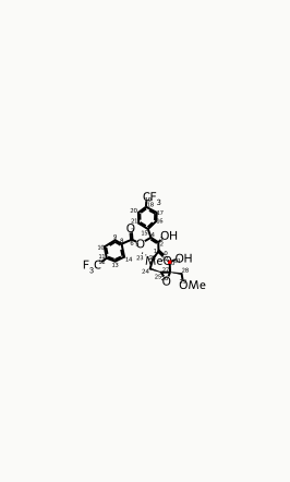 C=C(/C(O)=C(\OC(=O)c1ccc(C(F)(F)F)cc1)c1ccc(C(F)(F)F)cc1)[C@@H](C)C[C@@H]1O[C@@]1(COC)C(O)OC